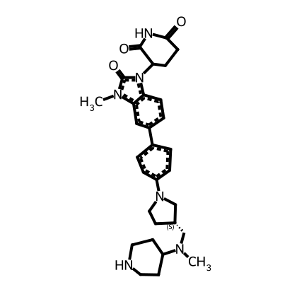 CN(C[C@@H]1CCN(c2ccc(-c3ccc4c(c3)n(C)c(=O)n4C3CCC(=O)NC3=O)cc2)C1)C1CCNCC1